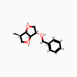 C[C@@H]1COC2C1OC[C@@H]2OCc1ccccc1